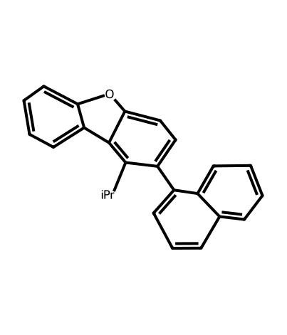 CC(C)c1c(-c2cccc3ccccc23)ccc2oc3ccccc3c12